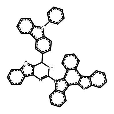 c1ccc(-n2c3ccccc3c3cc(C4NC(n5c6ccccc6c6c7sc8ccccc8c7c7ccccc7c65)=Nc5c4oc4ccccc54)ccc32)cc1